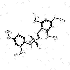 CNc1cc(OC)ccc1NS(=O)(=O)C=Cc1c(OC)cc(OC)cc1OC